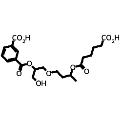 CC(CCOCC(CO)OC(=O)c1cccc(C(=O)O)c1)OC(=O)CCCCC(=O)O